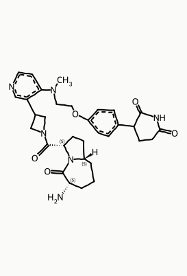 CN(CCOc1ccc(C2CCC(=O)NC2=O)cc1)c1ccncc1C1CN(C(=O)[C@@H]2CC[C@@H]3CCC[C@H](N)C(=O)N32)C1